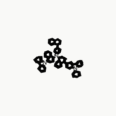 c1ccc(-n2c3ccccc3c3cc(-c4ccc(N(c5ccc(-c6cccc7ccccc67)cc5)c5ccc(-n6c7ccccc7c7ccccc76)c6ccccc56)c5ccccc45)ccc32)cc1